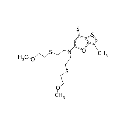 COCCSCCN(CCSCCOC)c1cc(=S)c2scc(C)c2o1